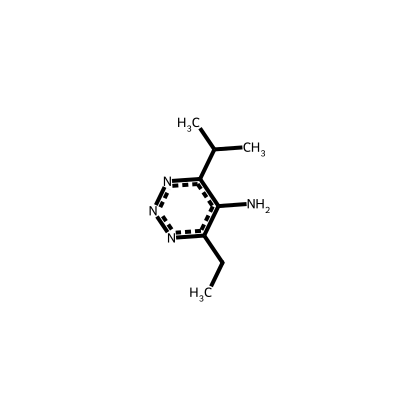 CCc1nnnc(C(C)C)c1N